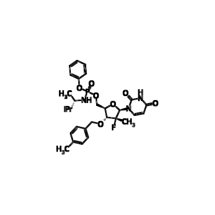 Cc1ccc(CO[C@@H]2[C@@H](COP(=O)(N[C@@H](C)C(C)C)Oc3ccccc3)O[C@@H](n3ccc(=O)[nH]c3=O)[C@]2(C)F)cc1